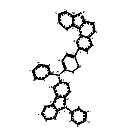 C1=C(c2ccc3ccc4sc5ccccc5c4c3c2)CCC(N(c2ccccc2)c2ccc3c(c2)c2ccccc2n3-c2ccccc2)=C1